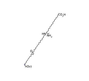 CCCCCCCC/C=C\CCCCCCCCOC(=O)CCCCCCCCCCCCCCCNC(CCCCCCCCCCCCCCCC(=O)O)C(C)N